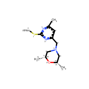 CCCCCCSc1nc(C)cc(CN2C[C@@H](C)O[C@@H](C)C2)n1